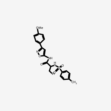 COc1ccc(-c2cc(NC(=O)C(CC(C)C)NS(=O)(=O)c3ccc(C)cc3)on2)cc1